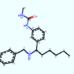 CCCCCC(NCc1ccccc1)c1cccc(NC(=O)NC)c1